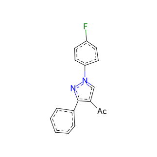 CC(=O)c1cn(-c2ccc(F)cc2)nc1-c1ccccc1